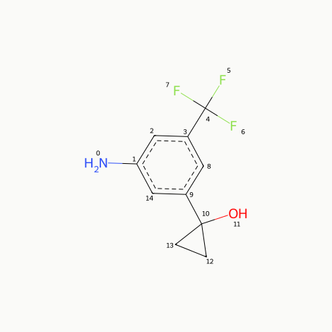 Nc1cc(C(F)(F)F)cc(C2(O)CC2)c1